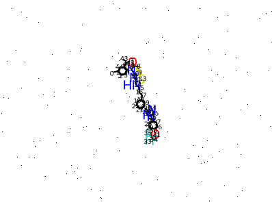 Cc1ccc(N2C(=O)CS/C2=N\C(=S)NCCCc2cccc(-c3ncn(-c4ccc(OC(F)(F)F)cc4)n3)c2)c(C(C)C)c1